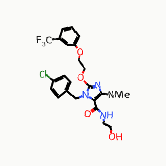 CNc1nc(OCCOc2cccc(C(F)(F)F)c2)n(Cc2ccc(Cl)cc2)c1C(=O)NCCO